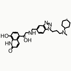 CN(CCCn1nnc2cc(CNC[C@H](O)c3ccc(O)c4[nH]c(=O)ccc34)ccc21)C1CC[CH]CC1